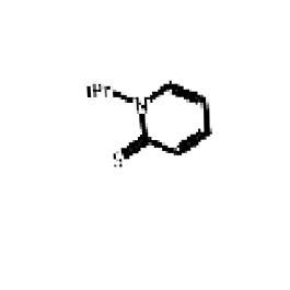 CC(C)n1ccccc1=S